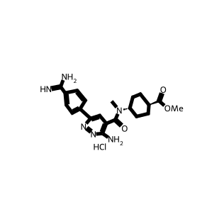 COC(=O)[C@H]1CC[C@H](N(C)C(=O)c2cc(-c3ccc(C(=N)N)cc3)nnc2N)CC1.Cl